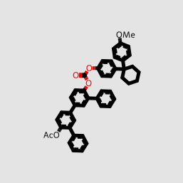 COc1ccc(C2(c3ccc(OC(=O)Oc4ccc(-c5ccc(OC(C)=O)c(-c6ccccc6)c5)cc4-c4ccccc4)cc3)CCCCC2)cc1